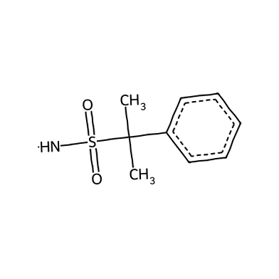 CC(C)(c1ccccc1)S([NH])(=O)=O